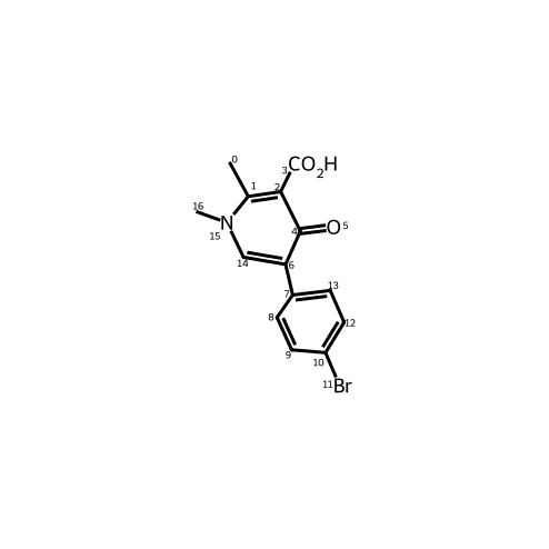 Cc1c(C(=O)O)c(=O)c(-c2ccc(Br)cc2)cn1C